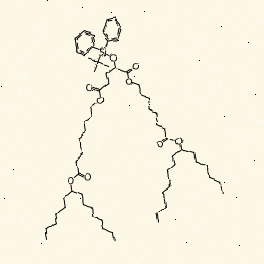 CCCCCCCCC(CCCCCC)OC(=O)CCCCCCCOC(=O)CCC(O[Si](c1ccccc1)(c1ccccc1)C(C)(C)C)C(=O)OCCCCCCCC(=O)OC(CCCCCC)CCCCCCCC